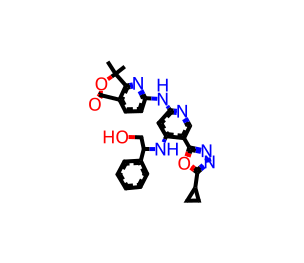 CC1(C)OC(=O)c2ccc(Nc3cc(NC(CO)c4ccccc4)c(-c4nnc(C5CC5)o4)cn3)nc21